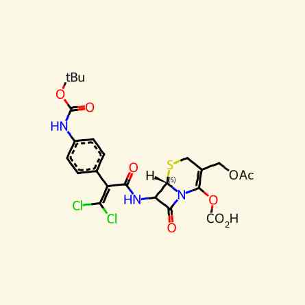 CC(=O)OCC1=C(OC(=O)O)N2C(=O)C(NC(=O)C(=C(Cl)Cl)c3ccc(NC(=O)OC(C)(C)C)cc3)[C@@H]2SC1